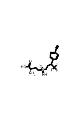 C#Cc1ccc(C(CCS(=N)(=O)CC[C@H](N)C(=O)O)C(F)(F)F)cc1